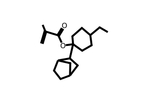 C=C(C)C(=O)OC1(C2CC3CCC2C3)CCC(CC)CC1